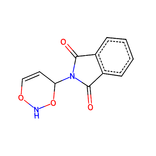 O=C1c2ccccc2C(=O)N1C1C=CONO1